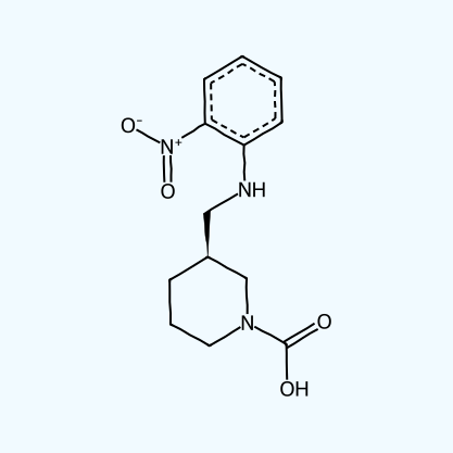 O=C(O)N1CCC[C@@H](CNc2ccccc2[N+](=O)[O-])C1